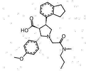 CCCN(C)C(=O)CN1C[C@H](c2cccc3c2CCC3)[C@H](C(=O)O)[C@H]1c1ccc(OC)cc1